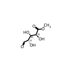 COC(=O)[C@@H](O)[C@H](O)[C@H](O)C=O